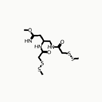 COC(=N)CC(CNC(=O)CSSC)NC(=O)CSSC